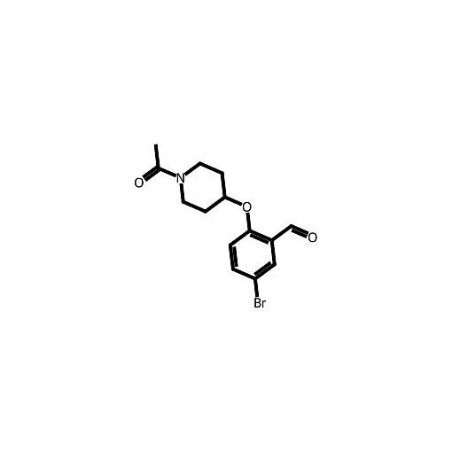 CC(=O)N1CCC(Oc2ccc(Br)cc2C=O)CC1